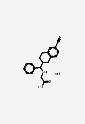 Cl.N#Cc1ccc2c(c1)CCC(C(NCC(=O)O)c1ccccc1)C2